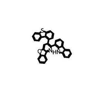 c1ccc2c(c1)[nH]c1c(-c3nc4c(cc3-c3cccc5sc6ccccc6c35)oc3ccccc34)cccc12